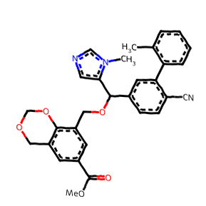 COC(=O)c1cc2c(c(COC(c3ccc(C#N)c(-c4ccccc4C)c3)c3cncn3C)c1)OCOC2